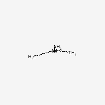 CCCCCCCCCCCCCCCCn1cc[n+](CCCCCCCCCCCC)c1CCC